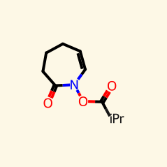 CC(C)C(=O)ON1C=CCCCC1=O